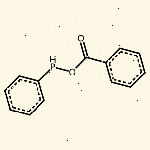 O=C(OPc1ccccc1)c1ccccc1